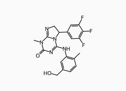 Cc1ccc(CO)cc1NC1=NC(=O)N(C)C2=NCC(c3cc(F)c(F)c(F)c3)N12